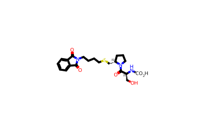 O=C(O)N[C@@H](CO)C(=O)N1CCC[C@H]1CSCCCCN1C(=O)c2ccccc2C1=O